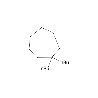 CCCCC1(CCCC)CCCCCC1